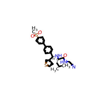 CC(C)C[C@H](N[C@@H](c1ccc(-c2ccc(S(C)(=O)=O)cc2)cc1)c1ccsc1)C(=O)NCC#N